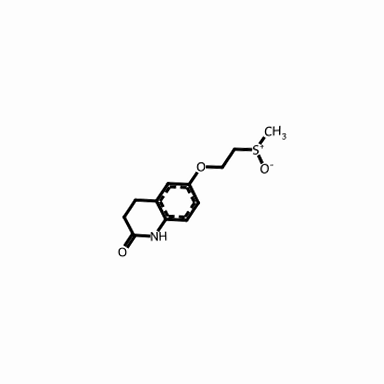 C[S+]([O-])CCOc1ccc2c(c1)CCC(=O)N2